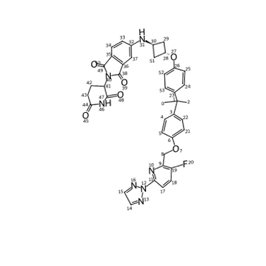 CC(C)(c1ccc(OCc2nc(-n3nccn3)ccc2F)cc1)c1ccc(O[C@H]2C[C@H](Nc3ccc4c(c3)C(=O)N(C3CCC(=O)NC3=O)C4=O)C2)cc1